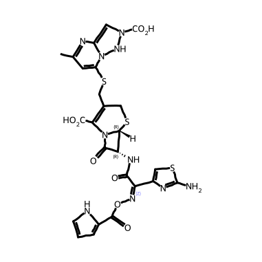 CC1=NC2=CN(C(=O)O)NN2C(SCC2=C(C(=O)O)N3C(=O)[C@@H](NC(=O)/C(=N\OC(=O)c4ccc[nH]4)c4csc(N)n4)[C@H]3SC2)=C1